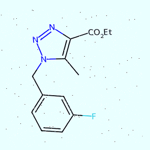 CCOC(=O)c1nnn(Cc2cccc(F)c2)c1C